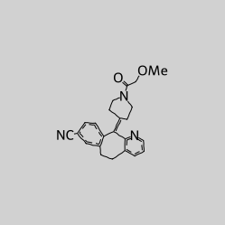 COCC(=O)N1CCC(=C2c3ccc(C#N)cc3CCc3cccnc32)CC1